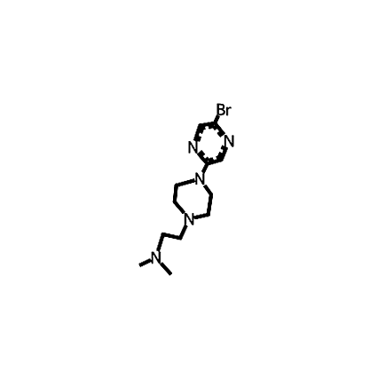 CN(C)CCN1CCN(c2cnc(Br)cn2)CC1